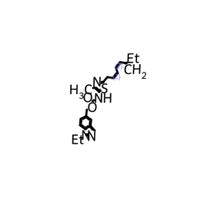 C=C(/C=C\C=C/Cc1nc(C)c(NC(=O)OCc2ccc3c(cnn3CC)c2)s1)CC